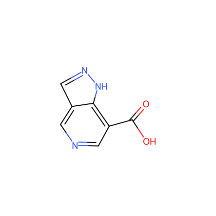 O=C(O)c1cncc2cn[nH]c12